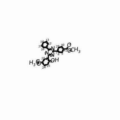 COC(=O)c1ccc(-c2nc(-c3ccccc3)nc(-c3cc(OC)ccc3O)n2)cc1